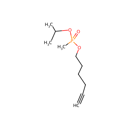 C#CCCCCOP(C)(=O)OC(C)C